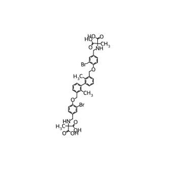 Cc1c(COc2ccc(CNC(C)(C(=O)O)C(=O)O)cc2Br)cccc1-c1cccc(COc2ccc(CNC(C)(C(=O)O)C(=O)O)cc2Br)c1C